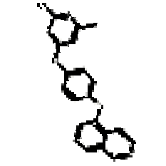 Cc1cc(Nc2ccc(Oc3cccc4cnccc34)cc2)nc(N)n1